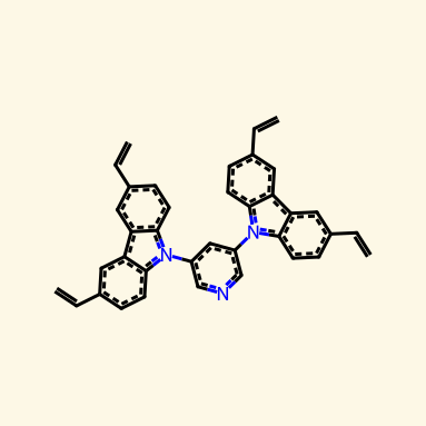 C=Cc1ccc2c(c1)c1cc(C=C)ccc1n2-c1cncc(-n2c3ccc(C=C)cc3c3cc(C=C)ccc32)c1